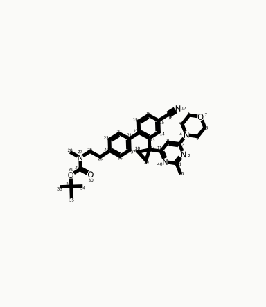 Cc1nc(N2CCOCC2)cc(C2(c3cc(C#N)ccc3-c3ccc(CCN(C)C(=O)OC(C)(C)C)cc3)CC2)n1